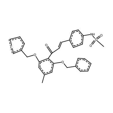 Cc1cc(OCc2ccccc2)c(C(=O)C=Cc2ccc(NS(C)(=O)=O)cc2)c(OCc2ccccc2)c1